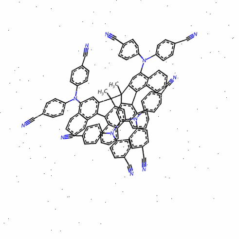 CC1(C2(C)c3cc(N(c4ccc(C#N)cc4)c4ccc(C#N)cc4)c4ccccc4c3-c3c2cc(N(c2ccc(C#N)cc2)c2ccc(C#N)cc2)c2ccccc32)c2cc(N(c3ccc(C#N)cc3)c3ccc(C#N)cc3)c3ccccc3c2-c2c1cc(N(c1ccc(C#N)cc1)c1ccc(C#N)cc1)c1ccccc21